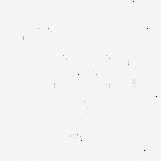 COc1ccc(-c2cc(Cn3cnc4c(N)ncnc43)c(N3CCC[C@](N)(CC(F)F)C3)cn2)c(C(F)(F)F)c1